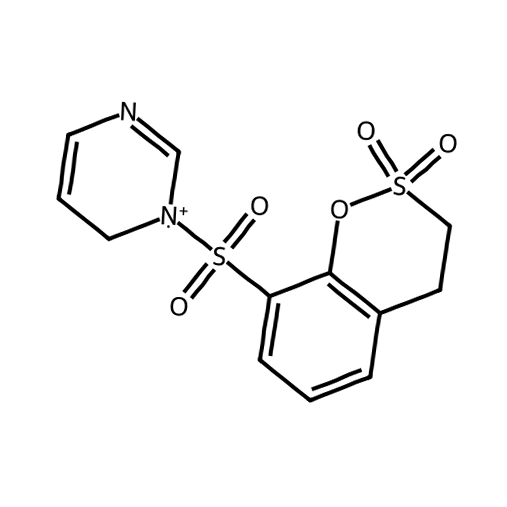 O=S1(=O)CCc2cccc(S(=O)(=O)[N+]3C=NC=CC3)c2O1